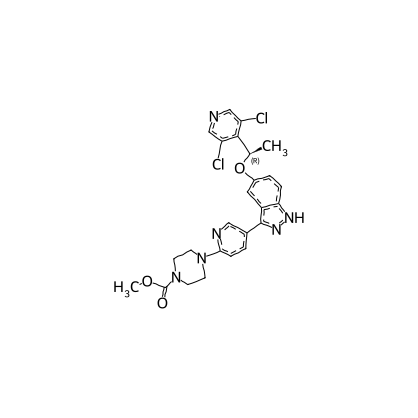 COC(=O)N1CCN(c2ccc(-c3n[nH]c4ccc(O[C@H](C)c5c(Cl)cncc5Cl)cc34)cn2)CC1